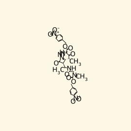 CC(C(=O)C(=[N+]=[N-])C(=O)OCc1ccc([N+](=O)[O-])cc1)[C@H]1NC(=O)[C@@H]1C(C)NC(=O)CN(C)C(=O)OCc1ccc([N+](=O)[O-])cc1